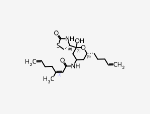 C=CCCC[C@@H]1CC(NC(=O)/C=C(/C)CCC=C)C[C@](O)([C@@H]2CSC(=O)N2)O1